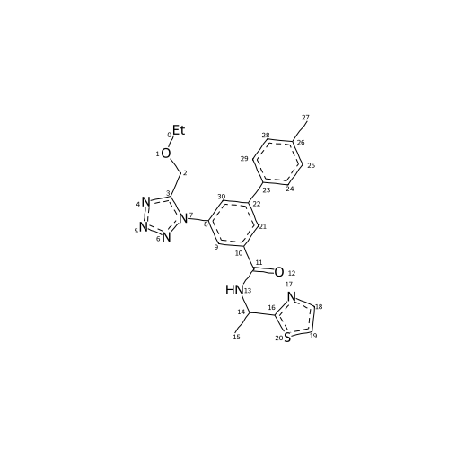 CCOCc1nnnn1-c1cc(C(=O)NC(C)c2nccs2)cc(-c2ccc(C)cc2)c1